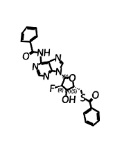 O=C(Nc1ncnc2c1ncn2[C@@H]1O[C@H](CSC(=O)c2ccccc2)[C@@H](O)[C@H]1F)c1ccccc1